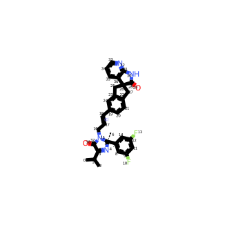 CC(C)C1=N[C@](C)(c2cc(F)cc(F)c2)N(C/C=C/c2ccc3c(c2)CC2(C3)C(=O)Nc3ncccc32)C1=O